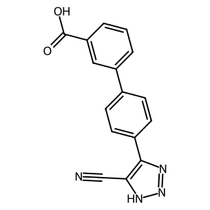 N#Cc1[nH]nnc1-c1ccc(-c2cccc(C(=O)O)c2)cc1